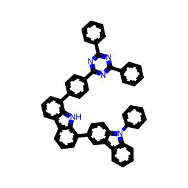 c1ccc(-c2nc(-c3ccccc3)nc(-c3ccc(-c4cccc5c4[nH]c4c(-c6ccc7c(c6)c6ccccc6n7-c6ccccc6)cccc45)cc3)n2)cc1